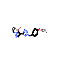 CCn1ncc(-c2nnn(Cc3ccc(OC)cc3)n2)c1Br